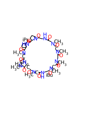 CC[C@H](C)C1NC(=O)CN(C)C(=O)CC(C(=O)N(C)C)N(C)C(=O)CN(C)C(=O)C2(CCCC2CC(C)C)NC(=O)C2CCCN2C(=O)CNC(=O)CN(C)C(=O)CN(C)C(=O)CN(C)C(=O)CN(C)C1=O